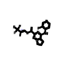 C=C(S/C=C(\C)C(F)(F)F)c1nc(Nc2ccncc2F)c2cccn2n1